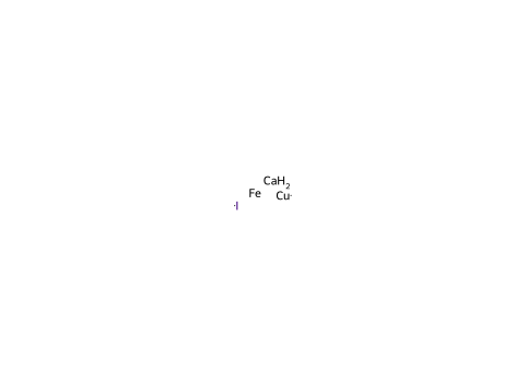 [CaH2].[Cu].[Fe].[I]